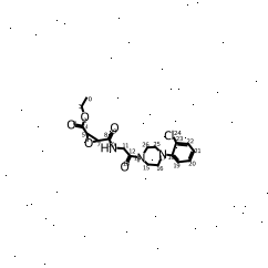 CCOC(=O)C1OC1C(=O)NCC(=O)N1CCN(c2ccccc2Cl)CC1